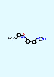 O=C(O)Cc1cccc(C(=O)NCc2cccc(-c3cccc(CN4CCNCC4)c3)c2)c1